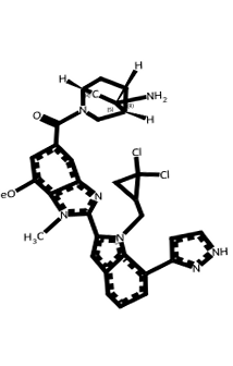 COc1cc(C(=O)N2C[C@H]3CC[C@@H]2C[C@@H]3N)cc2nc(-c3cc4cccc(-c5cc[nH]n5)c4n3CC3CC3(Cl)Cl)n(C)c12